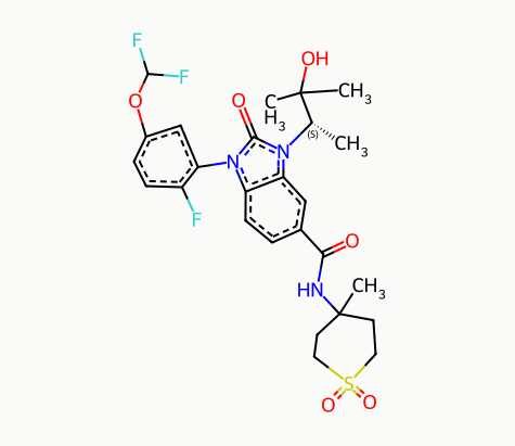 C[C@H](n1c(=O)n(-c2cc(OC(F)F)ccc2F)c2ccc(C(=O)NC3(C)CCS(=O)(=O)CC3)cc21)C(C)(C)O